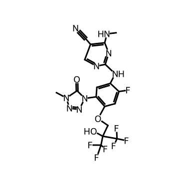 CNc1nc(Nc2cc(-n3nnn(C)c3=O)c(OCC(O)(C(F)(F)F)C(F)(F)F)cc2F)ncc1C#N